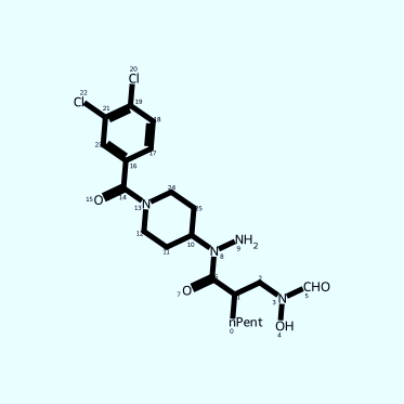 CCCCCC(CN(O)C=O)C(=O)N(N)C1CCN(C(=O)c2ccc(Cl)c(Cl)c2)CC1